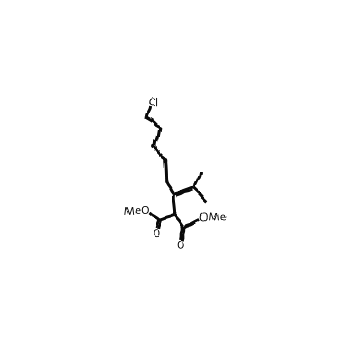 COC(=O)C(C(=O)OC)C(CCCCCCl)=C(C)C